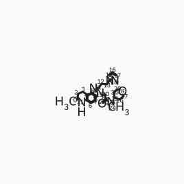 C[C@H]1CCc2c(ccc3c2nc(CCn2cccn2)n3CC(=O)N(C)C2CCOCC2)N1